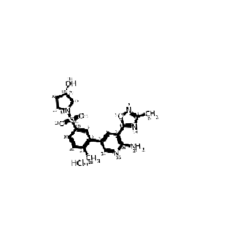 Cc1noc(-c2cc(-c3cc(S(=O)(=O)N4CC[C@H](O)C4)ccc3C)cnc2N)n1.Cl